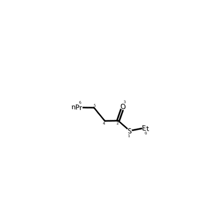 [CH2]CSC(=O)CCCCC